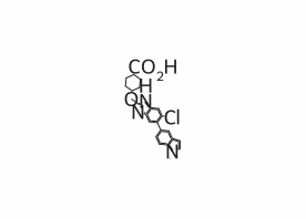 Cn1ccc2cc(-c3cc4nc(OC5CCC(C(=O)O)CC5)[nH]c4cc3Cl)ccc21